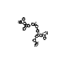 c1ccc(-n2c3ccc(-c4ccc5oc6ccc(-c7ccc(-n8c9ccc(-c%10cccc(-c%11cnccn%11)c%10)cc9c9cc(-c%10ccccc%10-c%10cnccn%10)ccc98)cc7)cc6c5c4)cc3c3cc(-c4ccccc4-c4cnccn4)ccc32)cc1